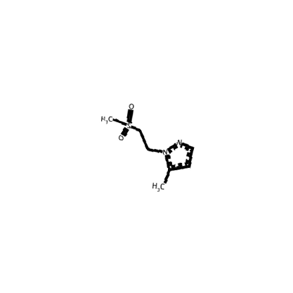 Cc1ccnn1CCS(C)(=O)=O